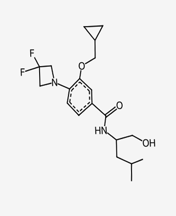 CC(C)CC(CO)NC(=O)c1ccc(N2CC(F)(F)C2)c(OCC2CC2)c1